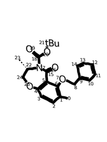 Cc1ccc2c(c1OCc1ccccc1)C(=O)N(C(=O)OC(C)(C)C)[C@@H](C)CO2